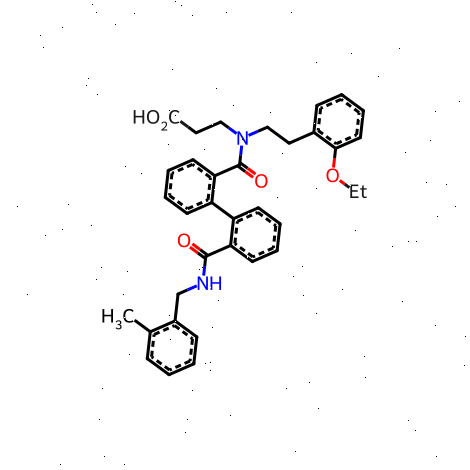 CCOc1ccccc1CCN(CCC(=O)O)C(=O)c1ccccc1-c1ccccc1C(=O)NCc1ccccc1C